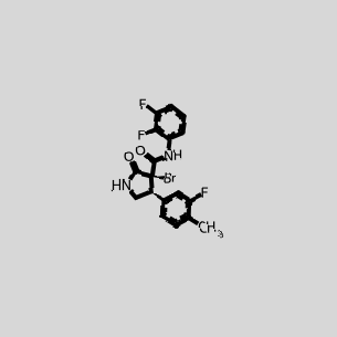 Cc1ccc([C@H]2CNC(=O)[C@]2(Br)C(=O)Nc2cccc(F)c2F)cc1F